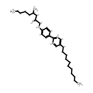 CCCCCCCCCCCc1cnc(-c2ccc(OCC(F)CC(C)CCCCC)cc2)nc1